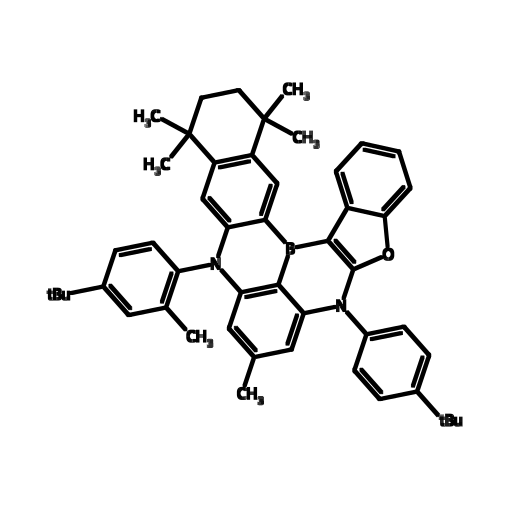 Cc1cc2c3c(c1)N(c1ccc(C(C)(C)C)cc1)c1oc4ccccc4c1B3c1cc3c(cc1N2c1ccc(C(C)(C)C)cc1C)C(C)(C)CCC3(C)C